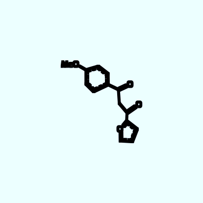 COc1ccc(C(=O)CC(=O)c2ccco2)cc1